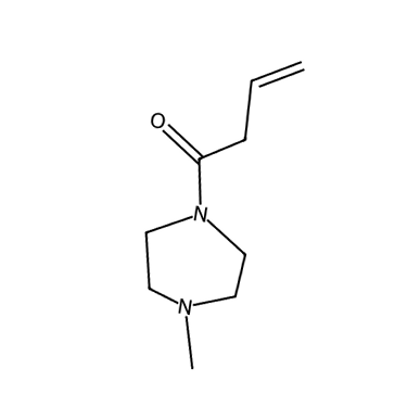 C=CCC(=O)N1CCN(C)CC1